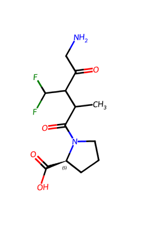 CC(C(=O)N1CCC[C@H]1C(=O)O)C(C(=O)CN)C(F)F